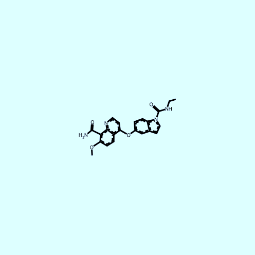 CCNC(=O)n1ccc2cc(Oc3ccnc4c(C(N)=O)c(OC)ccc34)ccc21